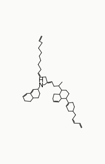 C=C/C=C\CC1CC=C(C2CCC(C(C)C/C=C(/C/C=C\CCCCCCCC=C)CN[C@@H]3C=C4C=CCCC4CC3)C3CCC=CC23)CC1